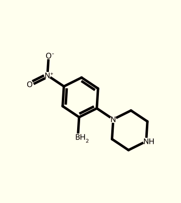 Bc1cc([N+](=O)[O-])ccc1N1CCNCC1